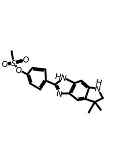 CC1(C)CNc2cc3[nH]c(-c4ccc(OS(C)(=O)=O)cc4)nc3cc21